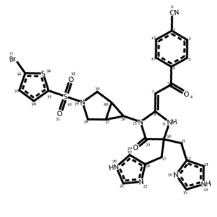 N#Cc1ccc(C(=O)C=C2NC(Cc3c[nH]cn3)(Cc3c[nH]cn3)C(=O)N2C2C3CN(S(=O)(=O)c4ccc(Br)s4)CC32)cc1